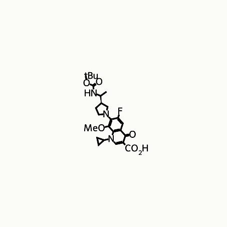 COc1c(N2CC[C@@H](C(C)NC(=O)OC(C)(C)C)C2)c(F)cc2c(=O)c(C(=O)O)cn(C3CC3)c12